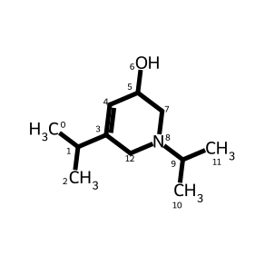 CC(C)C1=CC(O)CN(C(C)C)C1